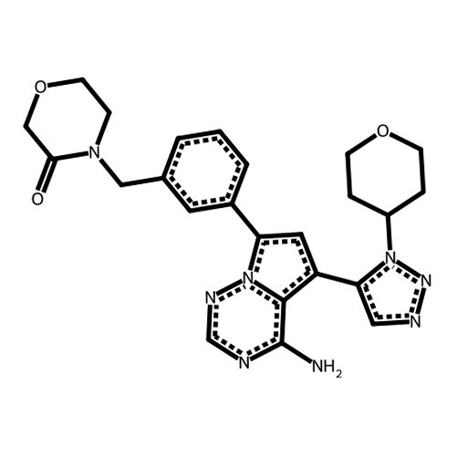 Nc1ncnn2c(-c3cccc(CN4CCOCC4=O)c3)cc(-c3cnnn3C3CCOCC3)c12